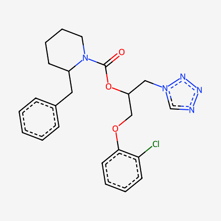 O=C(OC(COc1ccccc1Cl)Cn1cnnn1)N1CCCCC1Cc1ccccc1